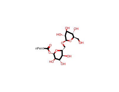 CCCCCC(=O)O[C@@H]1O[C@H](CO[C@@H]2O[C@H](CO)[C@@H](O)[C@H](O)[C@H]2O)[C@@H](O)[C@H](O)[C@H]1O